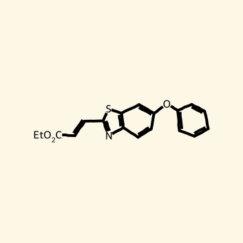 CCOC(=O)/C=C/c1nc2ccc(Oc3ccccc3)cc2s1